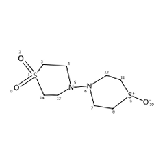 O=S1(=O)CCN(N2CC[S+]([O-])CC2)CC1